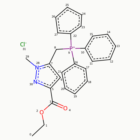 CCOC(=O)c1cc(C[P+](c2ccccc2)(c2ccccc2)c2ccccc2)n(C)n1.[Cl-]